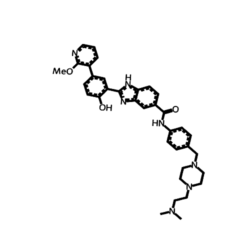 COc1ncccc1-c1ccc(O)c(-c2nc3cc(C(=O)Nc4ccc(CN5CCN(CCN(C)C)CC5)cc4)ccc3[nH]2)c1